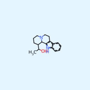 CC(O)C1CCCN2CCc3c([nH]c4ccccc34)C12